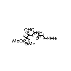 CNCCC(=O)NC(C=O)CC(=O)C(C)(C)P(OC)OC